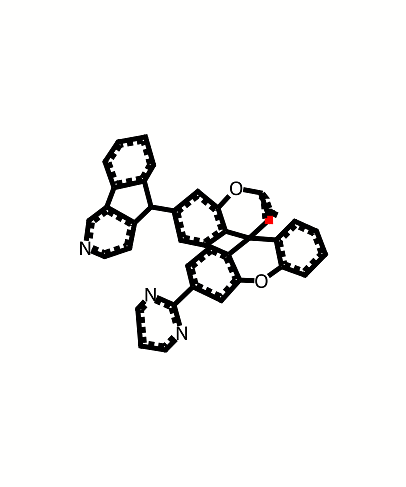 c1cnc(-c2ccc3c(c2)Oc2ccccc2C32c3ccccc3Oc3cc(C4c5ccccc5-c5cnccc54)ccc32)nc1